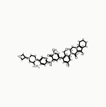 CC1CN(C2COC2)CCN1c1ccc(Nc2cc(-c3cc(F)cc(N4CCn5c6c(c(F)c5C4=O)CCCC6)c3CO)cn(C)c2=O)nc1